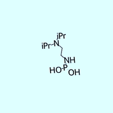 CC(C)N(CCNP(O)O)C(C)C